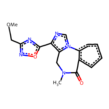 COCc1noc(-c2ncn3c2CN(C)C(=O)c2ccccc2-3)n1